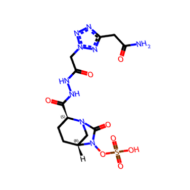 NC(=O)Cc1nnn(CC(=O)NNC(=O)[C@@H]2CC[C@@H]3CN2C(=O)N3OS(=O)(=O)O)n1